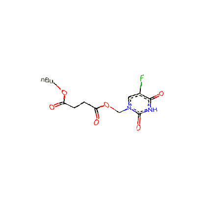 CCCCOC(=O)CCC(=O)OCn1cc(F)c(=O)[nH]c1=O